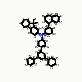 CC1(C)c2ccccc2-c2ccc(N(c3ccc(-c4cc(-c5ccccc5)cc(-c5ccccc5)c4)cc3)c3cccc(-c4cccc5ccccc45)c3)cc21